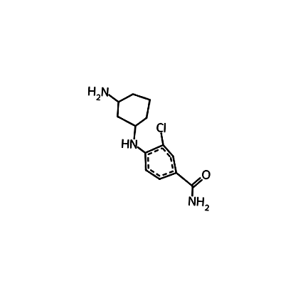 NC(=O)c1ccc(NC2CCCC(N)C2)c(Cl)c1